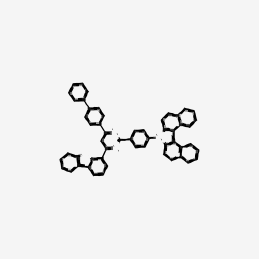 c1ccc(-c2ccc(-c3cc(-c4cccc5c4oc4ccccc45)nc(-c4ccc(-n5c6ccc7ccccc7c6c6c7ccccc7ccc65)cc4)n3)cc2)cc1